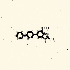 Cc1nc2c(C(=O)O)cc(-c3ccc(-c4cccnc4)cc3)cc2[nH]1